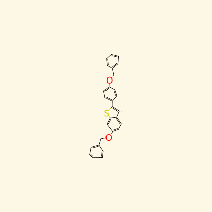 [c]1c(-c2ccc(OCc3ccccc3)cc2)sc2cc(OCc3ccccc3)ccc12